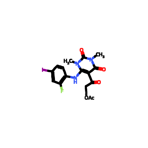 CC(=O)OCC(=O)c1c(Nc2ccc(I)cc2F)n(C)c(=O)n(C)c1=O